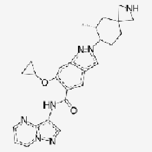 C[C@@H]1CC2(CCC1n1cc3cc(C(=O)Nc4cnn5cccnc45)c(OC4CC4)cc3n1)CNC2